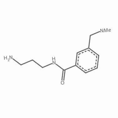 CNCc1cccc(C(=O)NCCCN)c1